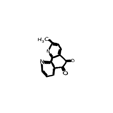 Cc1ccc2c(n1)-c1ncccc1C(=O)C2=O